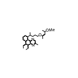 C/C=c1\c(=C/C)c2nc(C)cnc2c2c(C(C)CCCO/C(C)=C\C(C)OC)cccc12